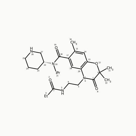 CCC(=O)NCCN1C(=O)C(C)(C)Oc2cc(C)c(C(=O)N(C(C)C)[C@@H]3CCCNC3)cc21